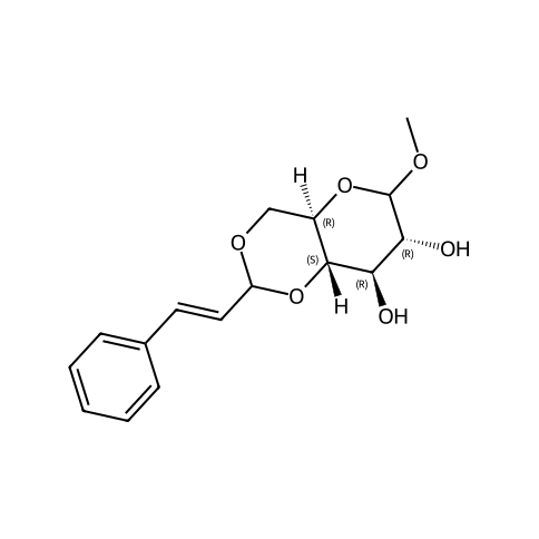 COC1O[C@@H]2COC(C=Cc3ccccc3)O[C@H]2[C@H](O)[C@H]1O